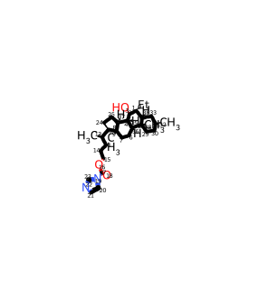 CC[C@H]1[C@@H](O)[C@@H]2[C@H](CC[C@]3(C)[C@@H]([C@H](C)CCCOC(=O)n4ccnc4)CC[C@@H]23)[C@@]2(C)CC[C@@H](C)C[C@@H]12